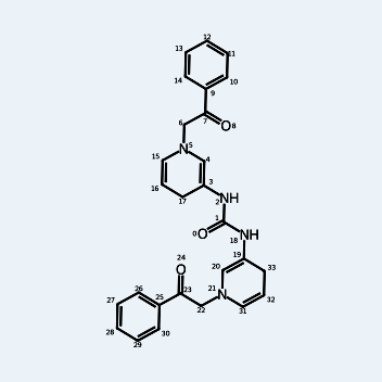 O=C(NC1=CN(CC(=O)c2ccccc2)C=CC1)NC1=CN(CC(=O)c2ccccc2)C=CC1